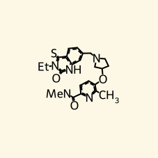 CCn1c(=O)[nH]c2cc(CN3CCC(Oc4ccc(C(=O)NC)nc4C)C3)ccc2c1=S